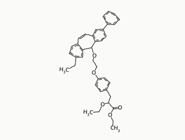 CCOC(=O)C(Cc1ccc(OCCOC2c3ccc(-c4ccccc4)cc3C=Cc3ccc(CC)cc32)cc1)OCC